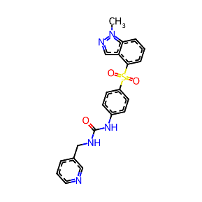 Cn1ncc2c(S(=O)(=O)c3ccc(NC(=O)NCc4cccnc4)cc3)cccc21